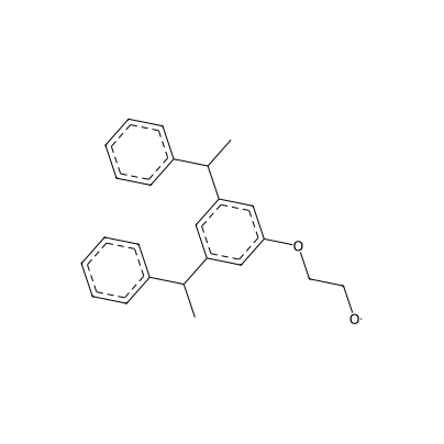 CC(c1ccccc1)c1cc(OCC[O])cc(C(C)c2ccccc2)c1